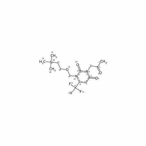 CC(=O)Cn1c(=O)cc(C(F)(F)F)n(COCC[Si](C)(C)C)c1=O